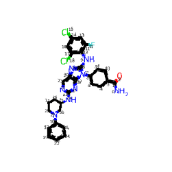 NC(=O)C1CCC(n2c(Nc3c(F)cc(Cl)cc3Cl)nc3cnc(NC4CCCN(c5ccccc5)C4)nc32)CC1